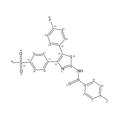 Cc1ccc(C(=O)Nc2nc(-c3ccc(S(C)(=O)=O)cc3)c(-c3ccc(F)cc3)s2)cc1